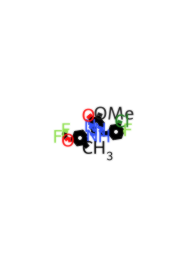 COc1cn(Cc2ccc(F)c(Cl)c2)c(Nc2ccc(OC(F)F)cc2C)nc1=O